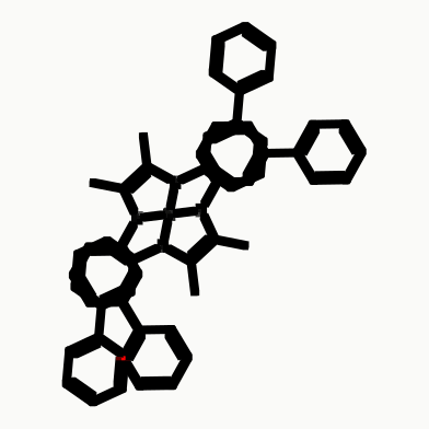 CC1=C(C)N(c2cccc(-c3ccccc3)c2)[Si]2(N1c1cccc(-c3ccccc3)c1)N(c1cccc(-c3ccccc3)c1)C(C)=C(C)N2c1cccc(-c2ccccc2)c1